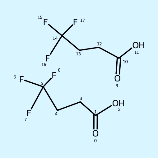 O=C(O)CCC(F)(F)F.O=C(O)CCC(F)(F)F